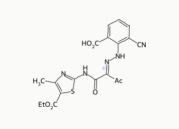 CCOC(=O)c1sc(NC(=O)/C(=N/Nc2c(C#N)cccc2C(=O)O)C(C)=O)nc1C